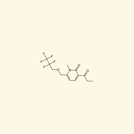 CCC(=O)c1ccc(COCC(F)(F)C(F)(F)F)n(C)c1=O